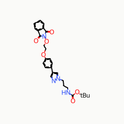 CC(C)(C)OC(=O)NCCCn1cc(-c2ccc(OCCON3C(=O)c4ccccc4C3=O)cc2)cn1